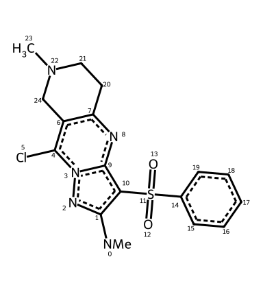 CNc1nn2c(Cl)c3c(nc2c1S(=O)(=O)c1ccccc1)CCN(C)C3